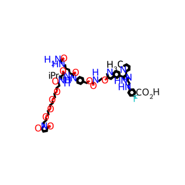 Cc1cccc(-c2nc(CNc3ccc(F)c(C(=O)O)c3)[nH]c2-c2ccc3ncc(OCCNC(=O)OCc4ccc(NC(=O)C(CCCNC(N)=O)NC(=O)[C@@H](NC(=O)CCOCCOCCOCCOCCN5C(=O)C=CC5=O)C(C)C)cc4)cc3c2)n1